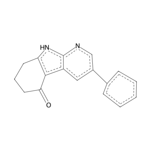 O=C1CCCc2[nH]c3ncc(-c4ccccc4)cc3c21